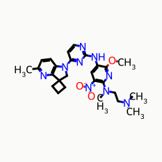 COc1nc(N(C)CCN(C)C)c([N+](=O)[O-])cc1Nc1nccc(N2CC3(CCC3)c3nc(C)ccc32)n1